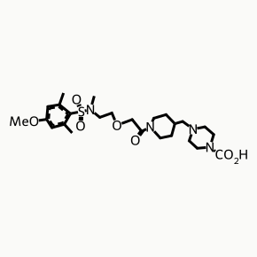 COc1cc(C)c(S(=O)(=O)N(C)CCOCC(=O)N2CCC(CN3CCN(C(=O)O)CC3)CC2)c(C)c1